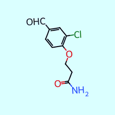 NC(=O)CCOc1ccc(C=O)cc1Cl